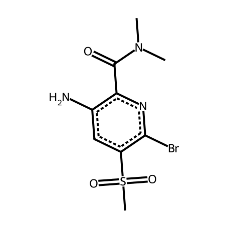 CN(C)C(=O)c1nc(Br)c(S(C)(=O)=O)cc1N